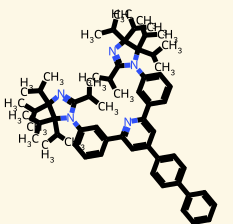 CC(C)C1=NC(C(C)C)(C(C)C)C(C(C)C)(C(C)C)N1c1cccc(-c2cc(-c3ccc(-c4ccccc4)cc3)cc(-c3cccc(N4C(C(C)C)=NC(C(C)C)(C(C)C)C4(C(C)C)C(C)C)c3)n2)c1